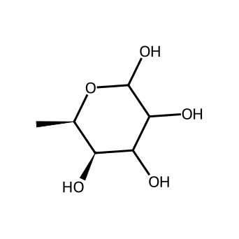 C[C@H]1OC(O)C(O)C(O)[C@H]1O